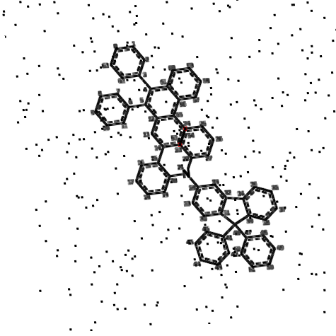 c1ccc(-c2c(-c3ccccc3)c3cc(-c4ccccc4N(c4ccccc4)c4ccc5c(c4)-c4ccccc4C5(c4ccccc4)c4ccccc4)ccc3c3ccccc23)cc1